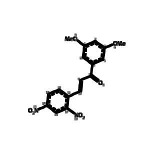 COc1cc(OC)cc(C(=O)/C=C/c2ccc([N+](=O)[O-])cc2[N+](=O)[O-])c1